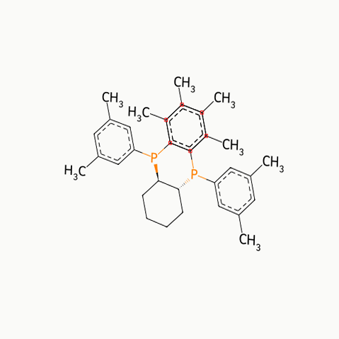 Cc1cc(C)cc(P(c2cc(C)cc(C)c2)[C@@H]2CCCC[C@H]2P(c2cc(C)cc(C)c2)c2cc(C)cc(C)c2)c1